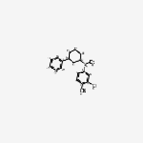 CCN(c1ccc(C#N)c(Cl)c1)C1CCCC(c2cccnc2)C1